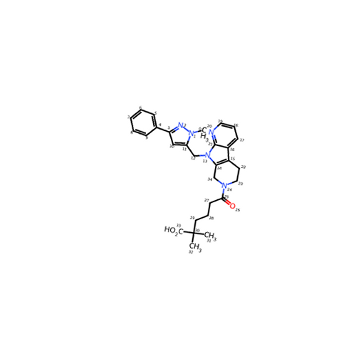 Cn1nc(-c2ccccc2)cc1Cn1c2c(c3cccnc31)CCN(C(=O)CCCC(C)(C)C(=O)O)C2